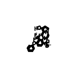 O=[N+]([O-])c1ccc(Oc2ccccc2)c(C(F)(F)F)c1N1CCN2CC[C@H](O)C2C1